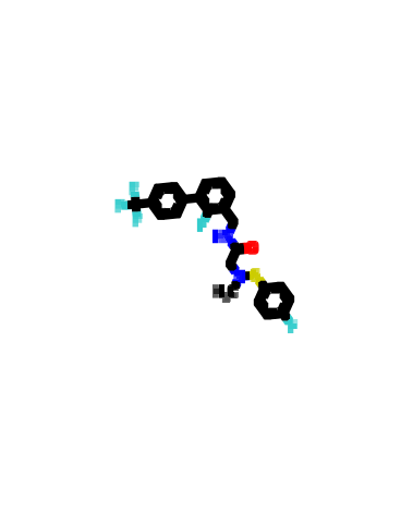 CN(CC(=O)NCc1cccc(-c2ccc(C(F)(F)F)cc2)c1F)Sc1ccc(F)cc1